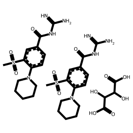 CS(=O)(=O)c1cc(C(=O)NC(=N)N)ccc1N1CCCCC1.CS(=O)(=O)c1cc(C(=O)NC(=N)N)ccc1N1CCCCC1.O=C(O)C(O)C(O)C(=O)O